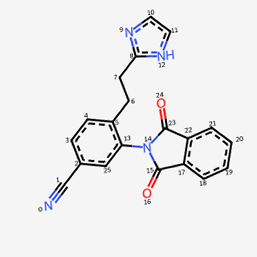 N#Cc1ccc(CCc2ncc[nH]2)c(N2C(=O)c3ccccc3C2=O)c1